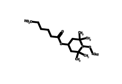 CCCCCCCCON1C(C)(C)CC(OC(=O)CCCCC(=O)O)CC1(C)C